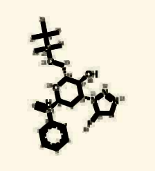 C#[SH](c1ccccc1)[C@@H]1C[C@@H](N2N=NCC2F)[C@H](O)[C@@H](CO[Si](C)(C)C(C)(C)C)O1